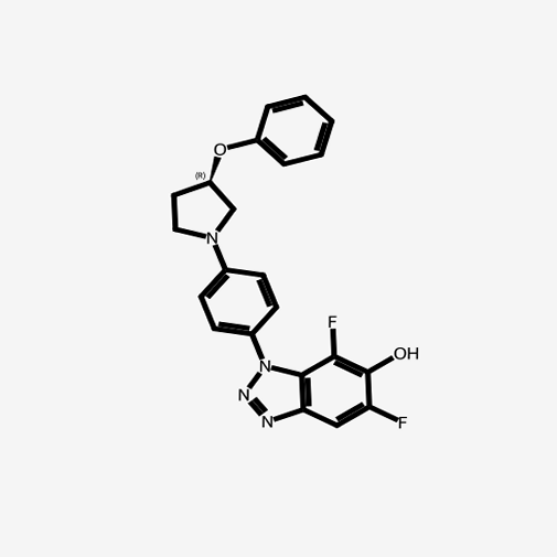 Oc1c(F)cc2nnn(-c3ccc(N4CC[C@@H](Oc5ccccc5)C4)cc3)c2c1F